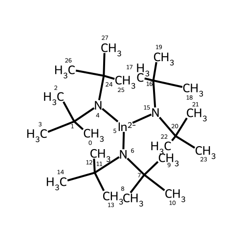 CC(C)(C)[N]([In-2]([N](C(C)(C)C)C(C)(C)C)[N](C(C)(C)C)C(C)(C)C)C(C)(C)C